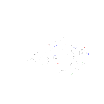 CC(C)[C@@H]1CCc2c(-c3ccc(F)cc3F)cc(C(=O)NCC(C)[C@H]3CCc4c(-c5ccc(F)cc5F)cc(C(N)=O)nc4O3)nc2O1